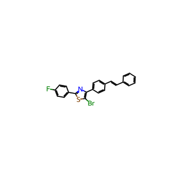 Fc1ccc(-c2nc(-c3ccc(C=Cc4ccccc4)cc3)c(Br)s2)cc1